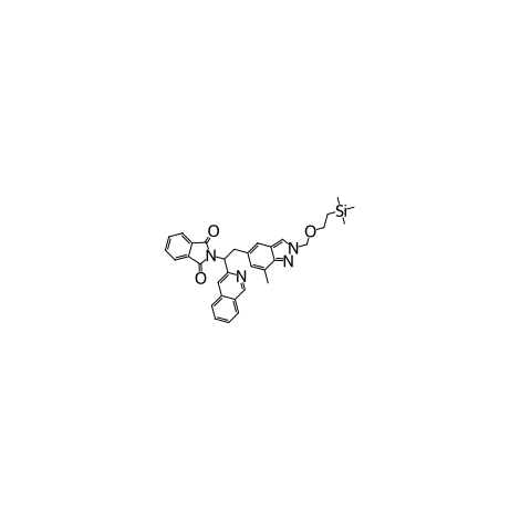 Cc1cc(CC(c2cc3ccccc3cn2)N2C(=O)c3ccccc3C2=O)cc2cn(COCC[Si](C)(C)C)nc12